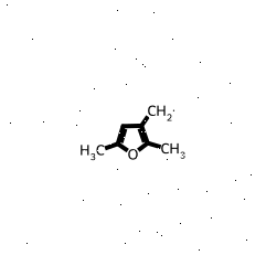 [CH2]c1cc(C)oc1C